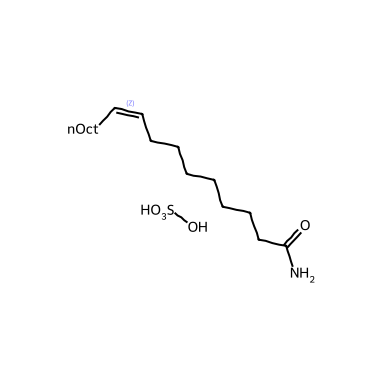 CCCCCCCC/C=C\CCCCCCCC(N)=O.O=S(=O)(O)O